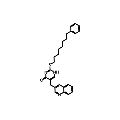 O=c1nc(SCCCCCCCCc2ccccc2)[nH]cc1Cc1cnc2ccccc2c1